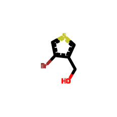 OCc1cscc1Br